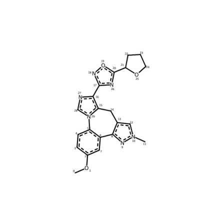 COc1ccc2c(c1)-c1nn(C)cc1Cc1c(-c3noc(C4CCCO4)n3)ncn1-2